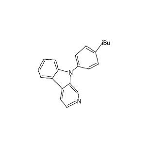 CCC(C)c1ccc(-n2c3ccccc3c3ccncc32)cc1